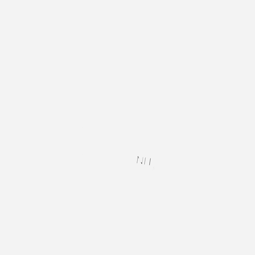 CCCC1CCC1.N